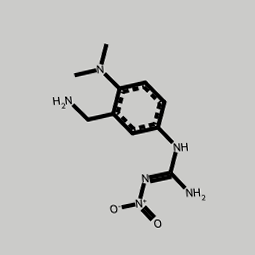 CN(C)c1ccc(NC(N)=N[N+](=O)[O-])cc1CN